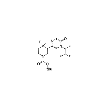 CC(C)(C)OC(=O)N1CCC(F)(F)C(c2cn(C(F)C(F)F)c(=O)cn2)C1